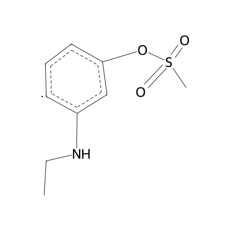 CCNc1[c]ccc(OS(C)(=O)=O)c1